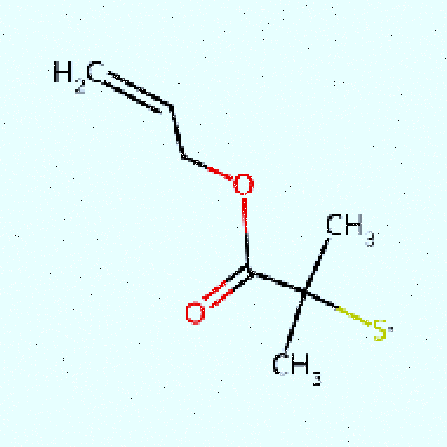 C=CCOC(=O)C(C)(C)[S]